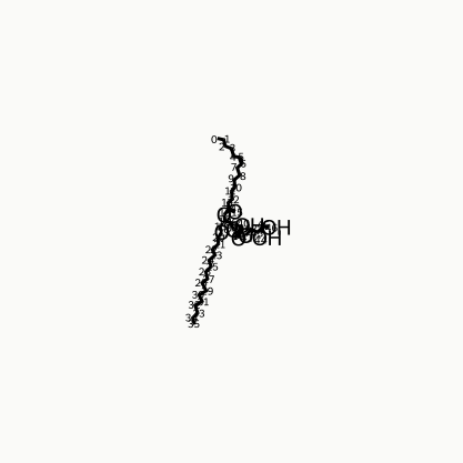 CCCCC/C=C\CCCCCCCC(=O)O[C@H](COCCCCCCCCCCCCCCCC)COP(=O)(O)OC[C@@H](O)CO